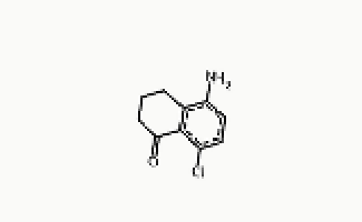 Nc1ccc(Cl)c2c1CCCC2=O